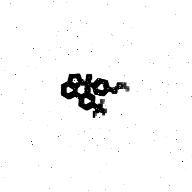 COc1ccc(S(=O)(=O)N2CCc3cccc(-c4ccc(C(F)(F)F)cc4)c32)cc1